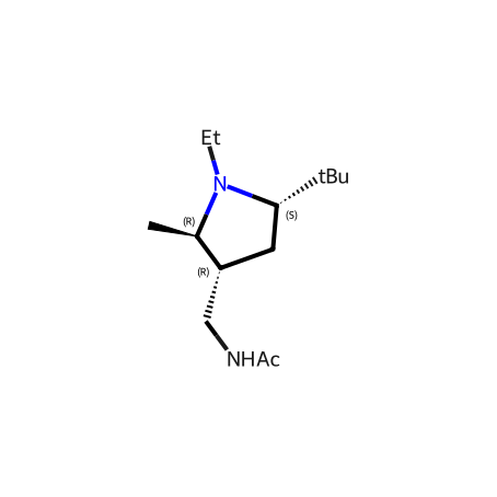 CCN1[C@H](C)[C@@H](CNC(C)=O)C[C@H]1C(C)(C)C